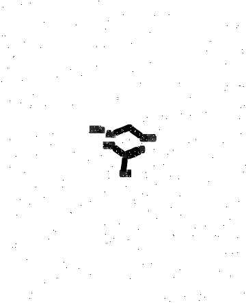 CC(=O)CC=O.O=S(O)O.[NaH]